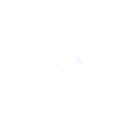 CCOP(=O)(Cc1ccc([N+](=O)[O-])cc1C)OCC